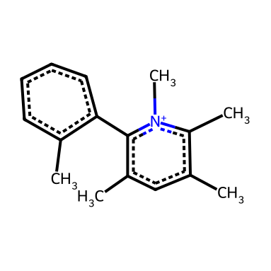 Cc1ccccc1-c1c(C)cc(C)c(C)[n+]1C